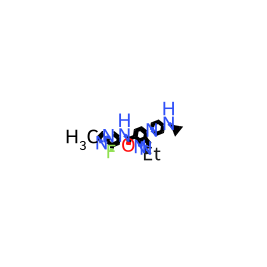 CCn1cc2c(N3CCC(NC4CC4)CC3)ccc(C(=O)Nc3cc(F)c4nc(C)cn4c3)c2n1